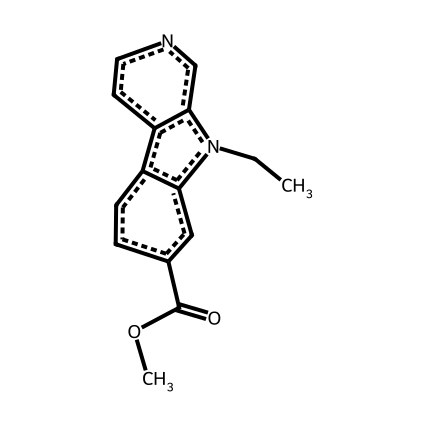 CCn1c2cnccc2c2ccc(C(=O)OC)cc21